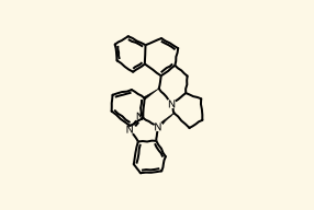 c1ccc([C@H]2c3c(ccc4ccccc34)CC3CCC[C@@H](n4nnc5ccccc54)N32)cc1